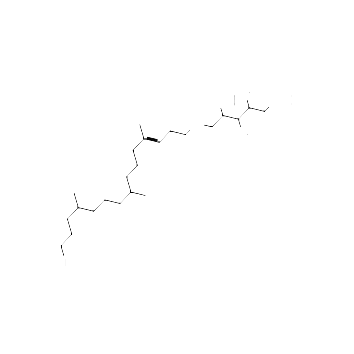 CC(=CCCOCC(O)C(O)C(O)CO)CCCC(C)CCCC(C)CCCC(C)C